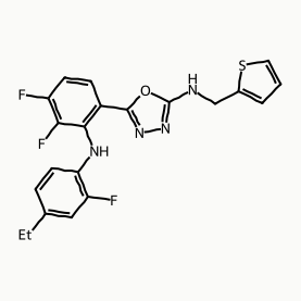 CCc1ccc(Nc2c(-c3nnc(NCc4cccs4)o3)ccc(F)c2F)c(F)c1